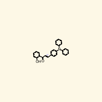 O=C(/C=C/c1ccc(N(c2ccccc2)c2ccccc2)cc1)c1ccccc1O